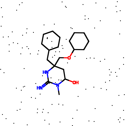 CN1C(=N)NC(COC2CCCCC2)(CC2CCCCC2)CC1O